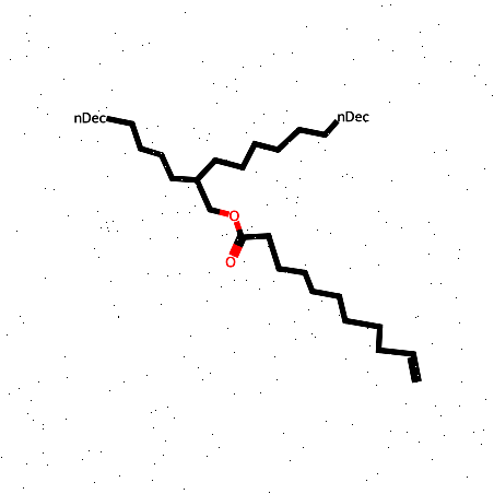 C=CCCCCCCCCC(=O)OCC(CCCCCCCCCCCCCC)CCCCCCCCCCCCCCCC